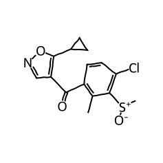 Cc1c(C(=O)c2cnoc2C2CC2)ccc(Cl)c1[S+](C)[O-]